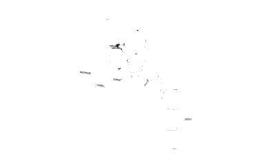 C=C(Cl)/N=C\C=C(/F)[C@H]1[C@H](C(=O)N[C@@H]2CC[C@@H](C(=O)N3CCOCC3)OC2)NC2(CCC(C)(C)CC2)[C@@]12C(=O)Nc1cc(Cl)ccc12